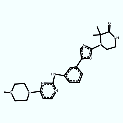 CN1CCN(c2ccnc(Nc3cccc(-c4cnc(N5CCNC(=O)C5(C)C)o4)c3)n2)CC1